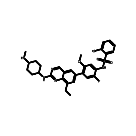 CCc1cc(-c2cc(F)c(NS(=O)(=O)c3ccccc3Cl)cc2OC)cc2cnc(NC3CCC(NC)CC3)nc12